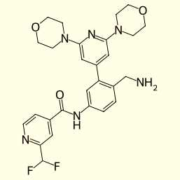 NCc1ccc(NC(=O)c2ccnc(C(F)F)c2)cc1-c1cc(N2CCOCC2)nc(N2CCOCC2)c1